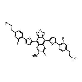 CCCCc1nc2c(-c3ccc(-c4ccc(CCC(C)C)cc4F)s3)c3nsnc3c(-c3ccc(-c4ccc(CCC(C)C)cc4F)s3)c2nc1C